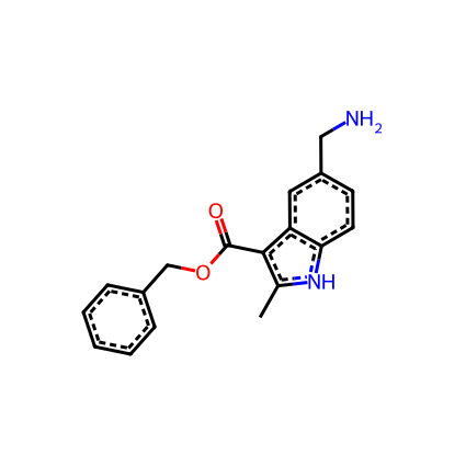 Cc1[nH]c2ccc(CN)cc2c1C(=O)OCc1ccccc1